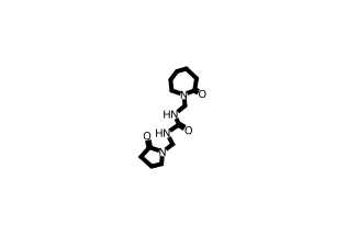 O=C(NCN1CCCCCC1=O)NCN1CCCC1=O